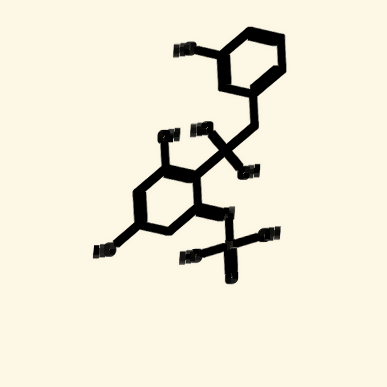 O=P(O)(O)N=C1CC(O)=CC(O)=C1C(O)(O)Cc1cccc(O)c1